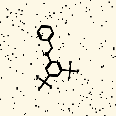 FC(F)(F)c1cc(BCc2ccccc2)cc(C(F)(F)F)c1